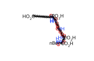 CCCCNC(=O)CCC(NC(=O)CC[C@H](NC(=O)COCCOCCNC(=O)COCCOCCNC(=O)CCC(NC(=O)CCCCCCCCCCCCCCCCC(=O)O)C(=O)O)C(=O)O)C(=O)O